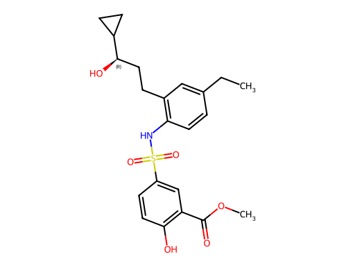 CCc1ccc(NS(=O)(=O)c2ccc(O)c(C(=O)OC)c2)c(CC[C@@H](O)C2CC2)c1